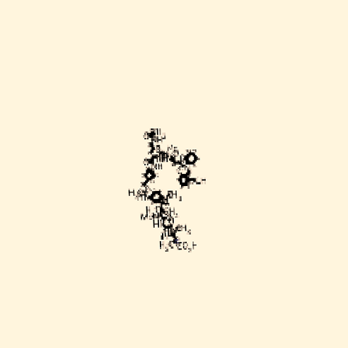 C#Cc1ccccc1CN(C(=O)CCC(=O)N[C@H](C(=O)N[C@@H](CCCNC(N)=O)C(=O)Nc1ccc(COC(C)Nc2ccc3c(c2)c(C(C)(C)[C@@H](NC)C(=O)N[C@H](C(=O)N(C)[C@H](/C=C(\C)C(=O)O)C(C)C)C(C)(C)C)cn3C)cc1)C(C)C)c1ccccc1C